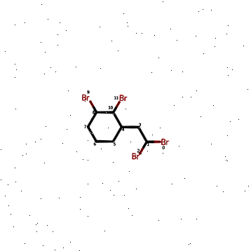 BrC(Br)CC1CCCC(Br)C1Br